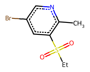 CCS(=O)(=O)c1cc(Br)cnc1C